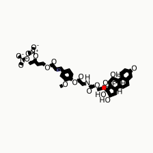 COc1cc(/C=C/C(=O)OCCC(CO[N+](=O)[O-])O[N+](=O)[O-])ccc1OC(=O)CNC(=O)OCC(=O)[C@@]1(O)[C@H](O)C[C@H]2[C@@H]3CCC4=CC(=O)C=C[C@]4(C)[C@@]3(F)[C@@H](O)C[C@@]21C